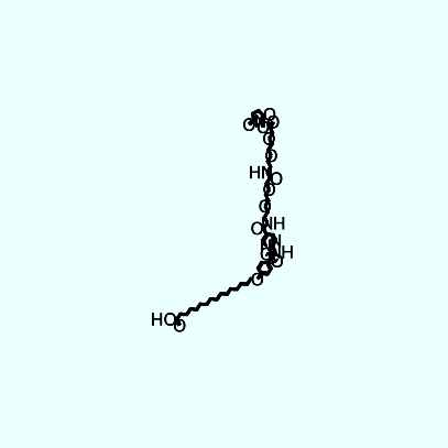 O=C(O)CCCCCCCCCCCCCCCOc1ccc(S(=O)(=O)Nc2ncc(C(=O)NCCOCCOCC(=O)NCCOCCOCC(=O)ON3C(=O)CCC3=O)cn2)cc1